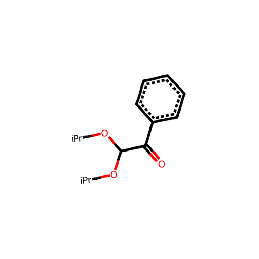 CC(C)OC(OC(C)C)C(=O)c1ccccc1